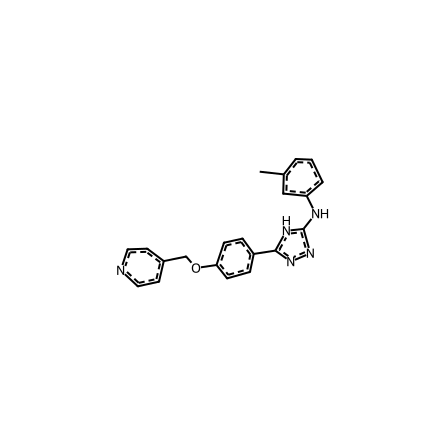 Cc1cccc(Nc2nnc(-c3ccc(OCc4ccncc4)cc3)[nH]2)c1